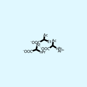 CCC(C(C)=O)C(=O)[O-].CCCC(C(C)=O)C(=O)[O-].CCCC(C(C)=O)C(=O)[O-].[Al+3]